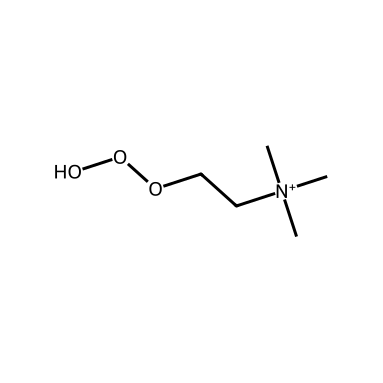 C[N+](C)(C)CCOOO